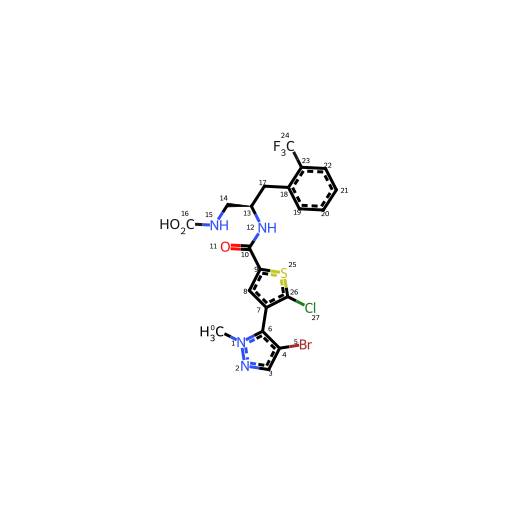 Cn1ncc(Br)c1-c1cc(C(=O)N[C@@H](CNC(=O)O)Cc2ccccc2C(F)(F)F)sc1Cl